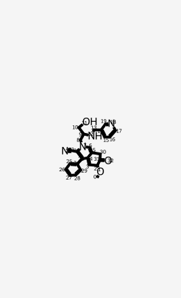 COC1C=C2C(=CN(CC(CO)NCc3cccnc3)C(C#N)=C2c2ccccc2)CC1=O